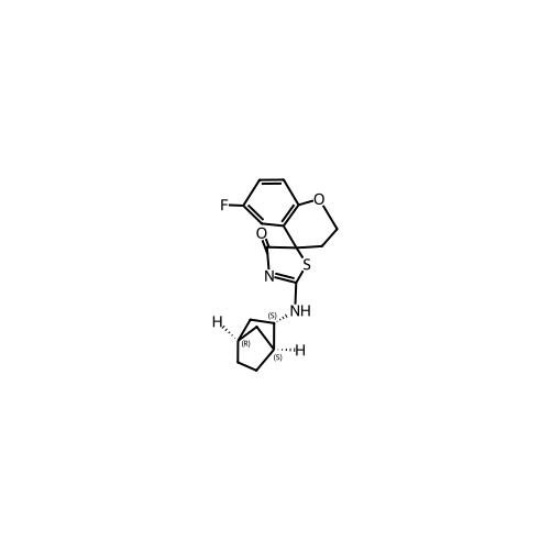 O=C1N=C(N[C@H]2C[C@@H]3CC[C@H]2C3)SC12CCOc1ccc(F)cc12